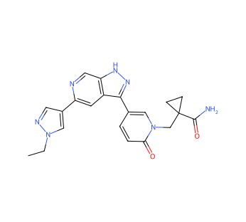 CCn1cc(-c2cc3c(-c4ccc(=O)n(CC5(C(N)=O)CC5)c4)n[nH]c3cn2)cn1